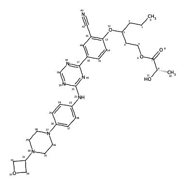 CCCC(CCOC(=O)[C@H](C)O)Oc1ccc(-c2ncnc(Nc3ccc(N4CCN(C5COC5)CC4)cc3)n2)cc1C#N